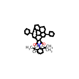 CC(C)(C)c1cccc(C(C)(C)C)c1-n1c(=O)c2c3cc(-c4ccccc4)c4ccc5ccc6c(-c7ccccc7)cc(c2c1=O)c1c6c5c4c31